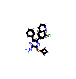 Nc1nc(-c2ccccc2)c(-c2cc(Cl)c3ncccc3c2)nc1SC1CCC1